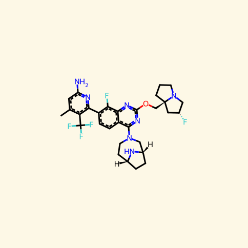 Cc1cc(N)nc(-c2ccc3c(N4CC[C@H]5CC[C@@H](C4)N5)nc(OC[C@@]45CCCN4C[C@H](F)C5)nc3c2F)c1C(F)(F)F